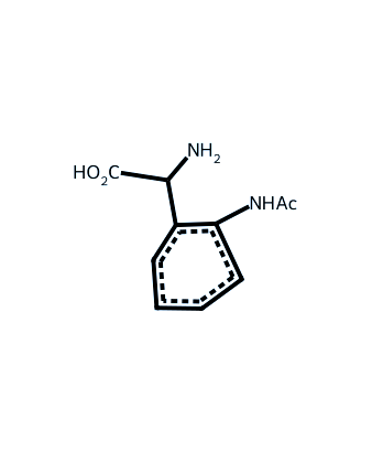 CC(=O)Nc1ccccc1C(N)C(=O)O